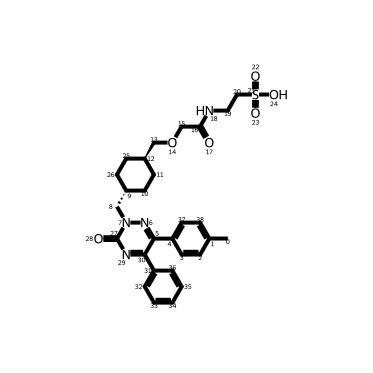 Cc1ccc(-c2nn(C[C@H]3CC[C@H](COCC(=O)NCCS(=O)(=O)O)CC3)c(=O)nc2-c2ccccc2)cc1